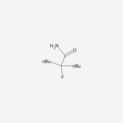 CCCCC(F)(CCCC)C(N)=O